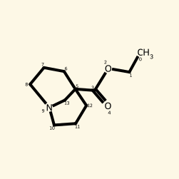 CCOC(=O)C12CCCN(CCC1)C2